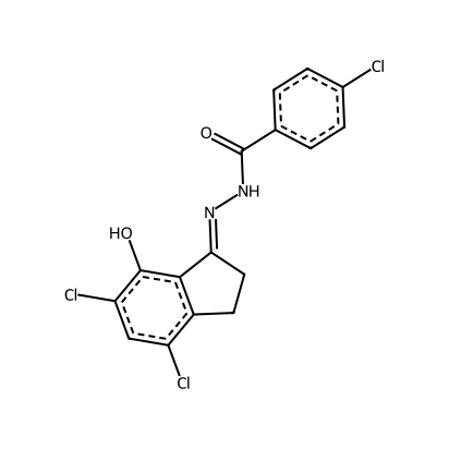 O=C(N/N=C1\CCc2c(Cl)cc(Cl)c(O)c21)c1ccc(Cl)cc1